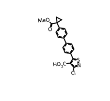 COC(=O)C1(c2ccc(-c3ccc(-c4snc(Cl)c4C(=O)O)cc3)cc2)CC1